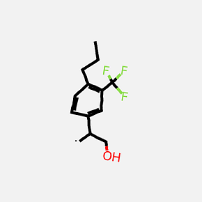 [CH2]C(CO)c1ccc(CCC)c(C(F)(F)F)c1